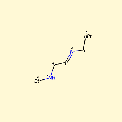 CCCCN=CCNCC